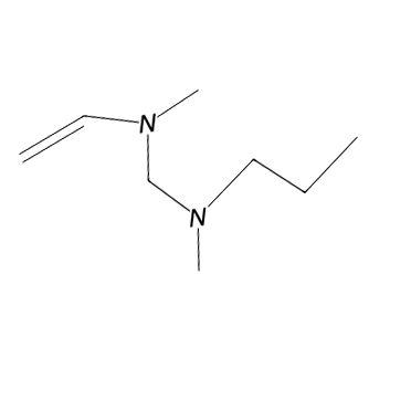 C=CN(C)CN(C)CCC